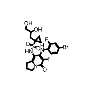 O=c1c(F)c(Nc2ccc(Br)cc2F)c(NS(=O)(=O)C2(CC(O)CO)CC2)c2n1CCC2